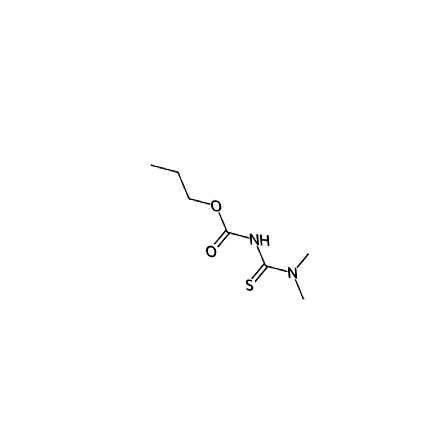 CCCOC(=O)NC(=S)N(C)C